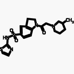 CC1CCCN(CC(=O)N2CCc3cc(S(=O)(=O)Nc4nccs4)ccc32)C1